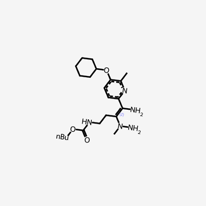 CCCCOC(=O)NCC/C(=C(/N)c1ccc(OC2CCCCC2)c(C)n1)N(C)N